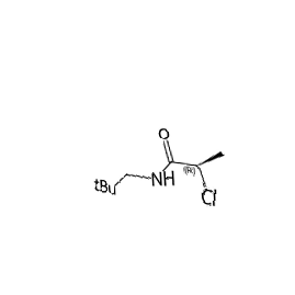 C[C@@H](Cl)C(=O)NCC(C)(C)C